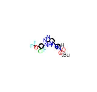 CC(C)(C)OC(=O)N1CC2CC[C@@H]1CN2c1ccc2ncnc(Nc3ccc(OC(F)F)c(Cl)c3F)c2n1